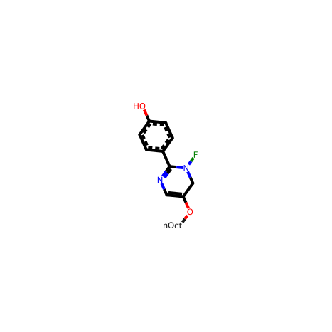 CCCCCCCCOC1=CN=C(c2ccc(O)cc2)N(F)C1